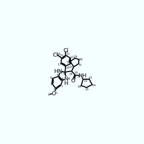 COc1ccc2c(c1)NC(c1ccc(Cl)c(Cl)c1)(C(C(=O)NC1CCCC1)C1CCCC1)N2